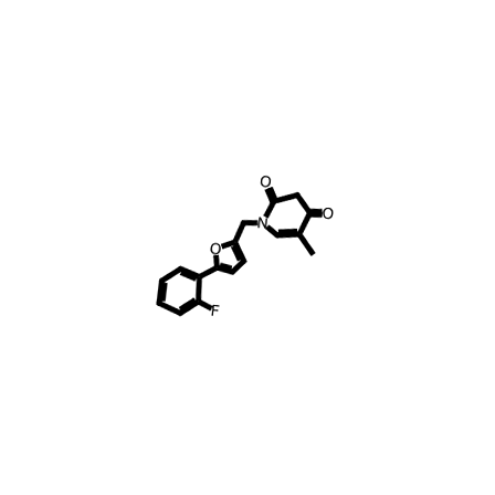 CC1=CN(Cc2ccc(-c3ccccc3F)o2)C(=O)CC1=O